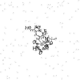 C[C@@H]1CN2c3c(cc4c(CO)noc4c3F)CC3(C(=O)NC(=O)NC3=O)[C@H]2[C@H](C)O1